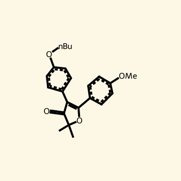 CCCCOc1ccc(C2=C(c3ccc(OC)cc3)OC(C)(C)C2=O)cc1